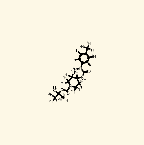 [2H]c1c(I)c(N([2H])C(=O)N([2H])C2([2H])C([2H])([2H])C([2H])([2H])N(C(=O)OC(C)(C([2H])([2H])[2H])C([2H])([2H])[2H])C([2H])([2H])C2([2H])[2H])c(F)c(F)c1C([2H])([2H])[2H]